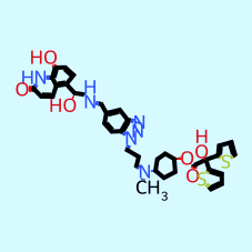 CN(CCCn1nnc2cc(CNC[C@H](O)c3ccc(O)c4[nH]c(=O)ccc34)ccc21)[C@H]1CC[C@H](OC(=O)C(O)(c2cccs2)c2cccs2)CC1